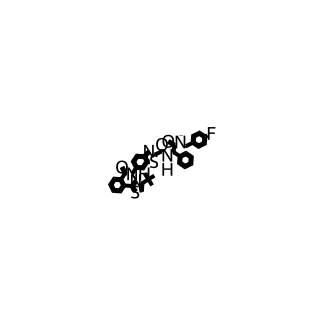 CN(Cc1ccc(F)cc1)C(=O)C(NC(=O)c1nc2ccc(NC(=O)c3ccccc3-c3nc(C(C)(C)C)cs3)cc2s1)c1ccccc1